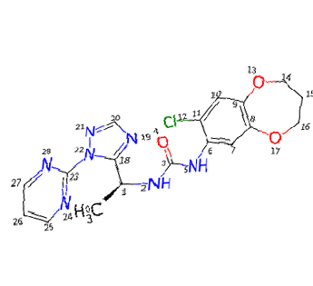 C[C@H](NC(=O)Nc1cc2c(cc1Cl)OCCCO2)c1ncnn1-c1ncccn1